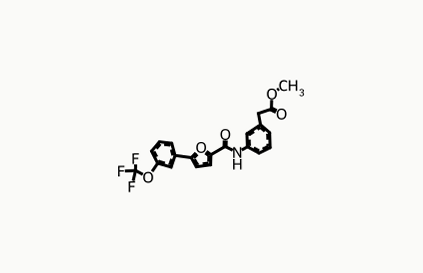 COC(=O)Cc1cccc(NC(=O)c2ccc(-c3cccc(OC(F)(F)F)c3)o2)c1